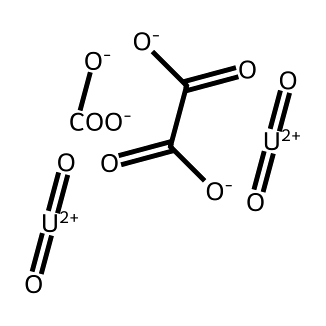 O=C([O-])C(=O)[O-].O=C([O-])[O-].[O]=[U+2]=[O].[O]=[U+2]=[O]